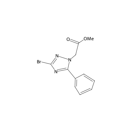 COC(=O)Cn1nc(Br)nc1-c1ccccc1